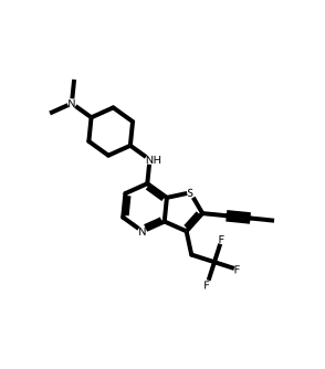 CC#Cc1sc2c(NC3CCC(N(C)C)CC3)ccnc2c1CC(F)(F)F